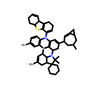 CC1CC(C2=CC3=C4B(c5cc(C(C)(C)C)ccc5N3C3=CCCC5=C3SC3CCC=CC53)C3C=C(C(C)(C)C)CC5C3N(C4C2)C(C)(C)C52CCCCC2)C=C2CC2C1